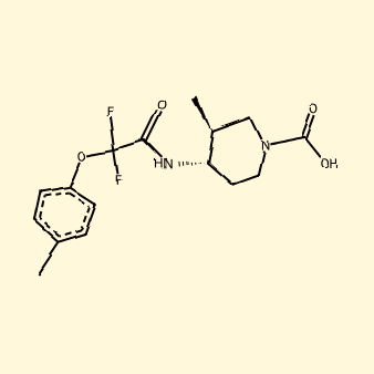 Cc1ccc(OC(F)(F)C(=O)N[C@H]2CCN(C(=O)O)C[C@@H]2C)cc1